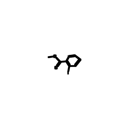 COC(=O)c1[c]cccc1I